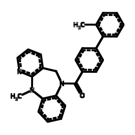 Cc1ccccc1-c1ccc(C(=O)N2Cc3cccnc3N(C)c3ccccc32)cc1